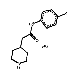 Cl.O=C(CC1CCNCC1)Nc1ccc(F)cc1